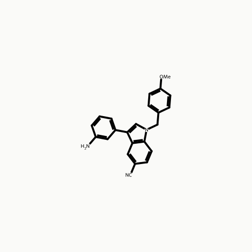 COc1ccc(Cn2cc(-c3cccc(N)c3)c3cc(C#N)ccc32)cc1